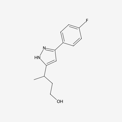 CC(CCO)c1cc(-c2ccc(F)cc2)n[nH]1